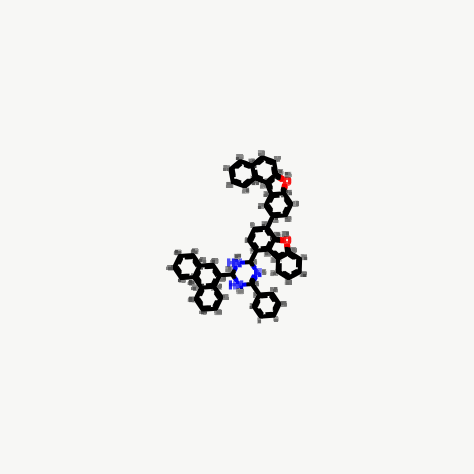 c1ccc(C2=NC(c3ccc(-c4ccc5oc6ccc7ccccc7c6c5c4)c4oc5ccccc5c34)NC(c3cc4ccccc4c4ccccc34)N2)cc1